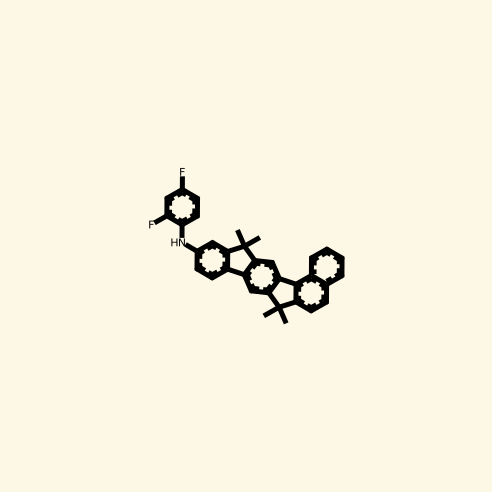 CC1(C)c2cc(Nc3ccc(F)cc3F)ccc2-c2cc3c(cc21)-c1c(ccc2ccccc12)C3(C)C